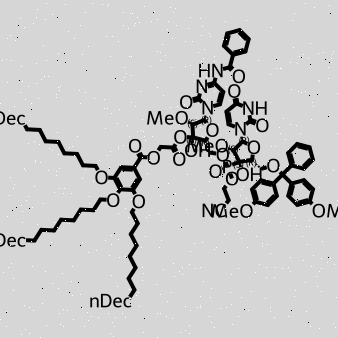 CCCCCCCCCCCCCCCCCCOc1cc(C(=O)OCC(=O)O[C@@]2(O)[C@@H](COP(=O)(OCCC#N)[C@@]3(O)[C@@H](COC(c4ccccc4)(c4ccc(OC)cc4)c4ccc(OC)cc4)O[C@@H](n4ccc(=O)[nH]c4=O)[C@@H]3OC)O[C@@H](n3ccc(NC(=O)c4ccccc4)nc3=O)[C@@H]2OC)cc(OCCCCCCCCCCCCCCCCCC)c1OCCCCCCCCCCCCCCCCCC